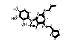 CCCSc1nc(NCc2ccco2)c2nnn([C@@H]3CC[C@H](O)[C@@H](O)[C@H]3O)c2n1